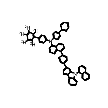 [2H]c1c([2H])c([2H])c(-c2ccc(N(c3ccc(-c4ccccc4)cc3)c3cccc4c(-c5ccc(-c6ccc7c8ccccc8n(-c8cccc9ccccc89)c7c6)cc5)cccc34)cc2)c([2H])c1[2H]